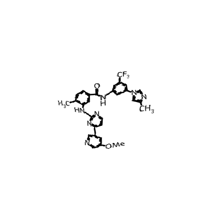 COc1cncc(-c2ccnc(Nc3cc(C(=O)Nc4cc(-n5cnc(C)c5)cc(C(F)(F)F)c4)ccc3C)n2)c1